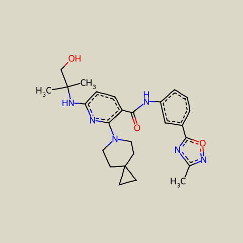 Cc1noc(-c2cccc(NC(=O)c3ccc(NC(C)(C)CO)nc3N3CCC4(CC3)CC4)c2)n1